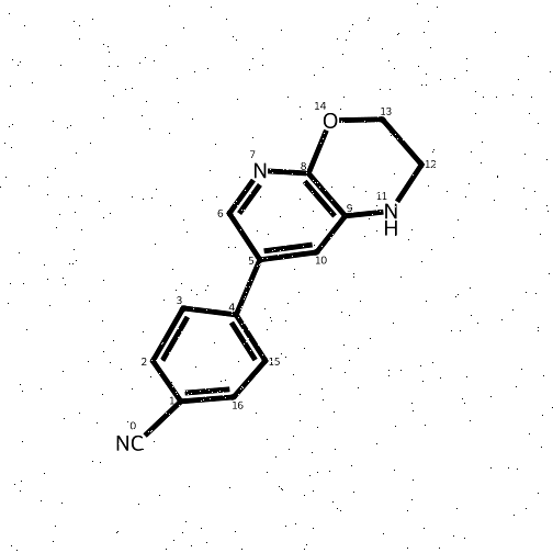 N#Cc1ccc(-c2cnc3c(c2)NCCO3)cc1